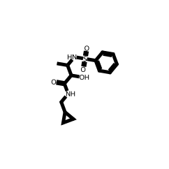 CC(NS(=O)(=O)c1ccccc1)C(O)C(=O)NCC1CC1